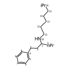 CCCC(CCc1ccccc1)NCCCCCC(C)C